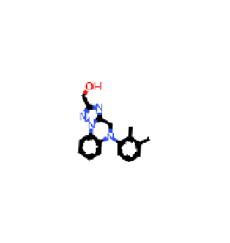 Cc1cccc(N2Cc3nc(CO)nn3-c3ccccc32)c1C